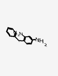 Nc1ccc([CH]c2ccccc2)c(N)c1